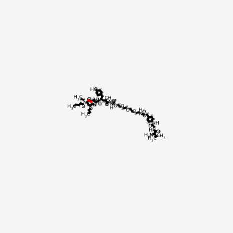 CCCCC(=O)N(CCC)C(CC(OCCC)c1nc(C(=O)NC(Cc2ccc(O)cc2)C[C@H](C)C(=O)NNC(=O)OCCOCCOCCOCCNC(=O)OCc2ccc(NC(=O)CNC(=O)C(N)C(C)C)cc2)cs1)C(C)C